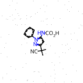 CC(C)(C#N)c1cc(NC(=O)O)n(-c2ccccc2)n1